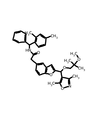 COC(C)(C)COC(c1cc2cc(CC(=O)NC(c3ccccc3)c3ccc(C)cc3C)ccc2o1)c1c(C)noc1C